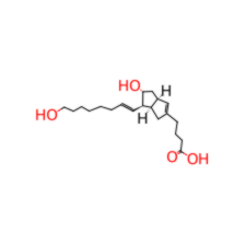 O=C(O)CCCC1=C[C@@H]2C[C@@H](O)[C@H](C=CCCCCCCO)[C@@H]2C1